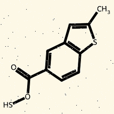 Cc1cc2cc(C(=O)OS)ccc2s1